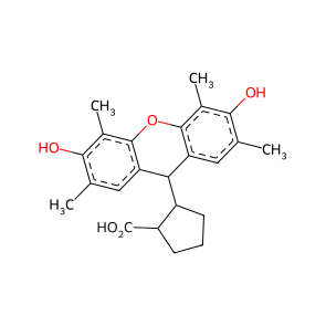 Cc1cc2c(c(C)c1O)Oc1c(cc(C)c(O)c1C)C2C1CCCC1C(=O)O